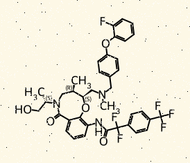 C[C@@H]1CN([C@@H](C)CO)C(=O)c2cccc(NC(=O)C(F)(F)c3ccc(C(F)(F)F)cc3)c2O[C@@H]1CN(C)Cc1ccc(Oc2ccccc2F)cc1